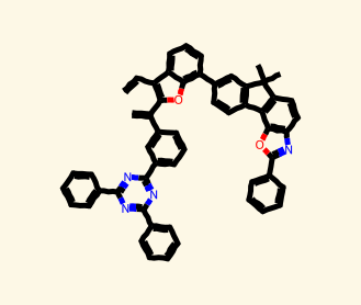 C=Cc1c(C(=C)c2cccc(-c3nc(-c4ccccc4)nc(-c4ccccc4)n3)c2)oc2c(-c3ccc4c(c3)C(C)(C)c3ccc5nc(-c6ccccc6)oc5c3-4)cccc12